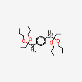 CCCOC(CC)(OCCC)[SiH2]c1ccc([SiH2]C(CC)(OCCC)OCCC)cc1